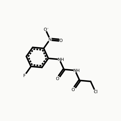 O=C(CCl)NC(=O)Nc1cc(F)ccc1[N+](=O)[O-]